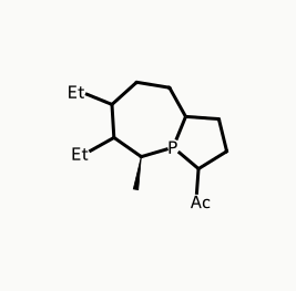 CCC1CCC2CCC(C(C)=O)P2[C@@H](C)C1CC